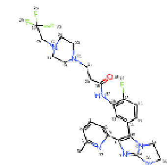 Cc1cccc(-c2nc3n(c2-c2ccc(F)c(NC(=O)CCN4CCN(CC(F)(F)F)CC4)c2)CCN3)n1